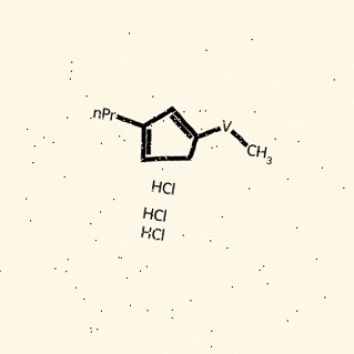 CCCC1=CC[C]([V][CH3])=C1.Cl.Cl.Cl